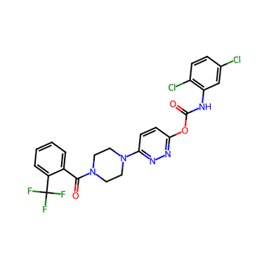 O=C(Nc1cc(Cl)ccc1Cl)Oc1ccc(N2CCN(C(=O)c3ccccc3C(F)(F)F)CC2)nn1